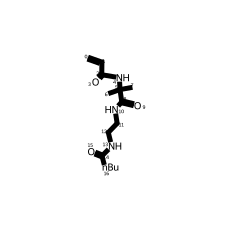 C=CC(=O)NC(C)(C)C(=O)NCCNC(=O)CCCC